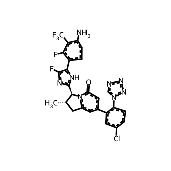 C[C@H]1Cc2cc(-c3cc(Cl)ccc3-n3cnnn3)cc(=O)n2[C@@H]1c1nc(F)c(-c2ccc(N)c(C(F)(F)F)c2F)[nH]1